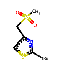 CC(C)(C)c1nc(CS(C)(=O)=O)cs1